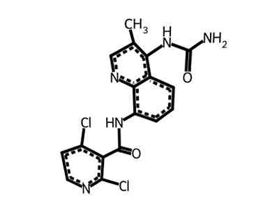 Cc1cnc2c(NC(=O)c3c(Cl)ccnc3Cl)cccc2c1NC(N)=O